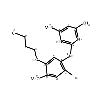 CNc1cc(C)nc(Nc2cc(OCCCCl)c(OC)cc2F)n1